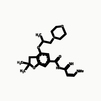 CN/C=C\C(=N)NC(=O)c1cc(OC(C)CN2CCOCC2)c2c(c1)OC(C)(C)C2